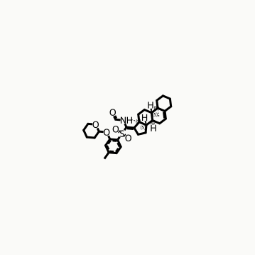 Cc1ccc(S(=O)(=O)C(NC=O)=C2CC[C@H]3[C@@H]4CC=C5CCCC[C@]5(C)[C@H]4CC[C@]23C)c(OC2CCCCO2)c1